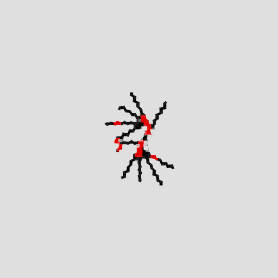 CCCCCCCCCCC=C(OC(CCCCCCCCCC)(CCCCCCCCCC)CCCCCCCCCCC)C(CCCCCCCCC)OCOCOC(CCCCCCCCC)C(=CCCCCCCCCCC)OC(CCCCCCCCCC)(CCCCCCCCCC)CCCCCCCCCCC